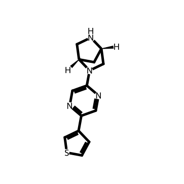 c1cc(-c2cnc(N3C[C@@H]4C[C@H]3CN4)cn2)cs1